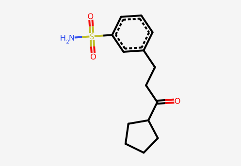 NS(=O)(=O)c1cccc(CCC(=O)C2CCCC2)c1